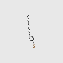 CCCCCCCCCCCCc1ccc(CC[S])cc1